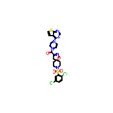 O=C(C1=NOC2(CCN(S(=O)(=O)c3cc(Cl)ccc3Cl)CC2)C1)N1CCN(c2ncnc3sccc23)CC1